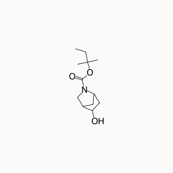 CCC(C)(C)OC(=O)N1CC2CC1CC2O